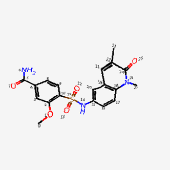 COc1cc(C(N)=O)ccc1S(=O)(=O)Nc1ccc2c(c1)cc(C)c(=O)n2C